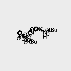 CC(C)(C)OC(=O)NCCC[n+]1ccc(Oc2ccc(OCC(ON3C(=O)c4ccccc4C3=O)C(=O)OC(C)(C)C)cn2)cc1